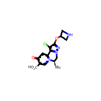 CC(C)(C)[C@@H]1Cn2nc(OC3CNC3)c(Cl)c2-c2cc(=O)c(C(=O)O)cn21